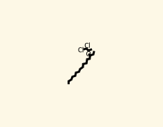 CCCCCCCCCCCCCC(CC)OC(C)C(Cl)Cl